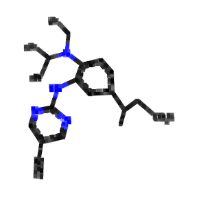 C#Cc1cnc(Nc2cc(C(C)CC(=O)O)ccc2N(CC(C)C)C(CCC)CCC)nc1